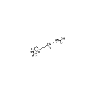 O=C(O)NCCCNC(=O)CCCC[C@@H]1SC[C@@H]2NC(=O)N[C@@H]21